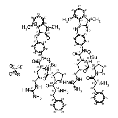 CN1C(=O)C(=Nc2ccc(N(OC(C)(C)C)C(=O)[C@H](CCCNC(=N)N)NC(=O)[C@@H]3CCCN3C(=O)[C@H](N)Cc3ccccc3)cc2)c2c1ccc[n+]2C.CN1C(=O)C(=Nc2ccc(N(OC(C)(C)C)C(=O)[C@H](CCCNC(=N)N)NC(=O)[C@@H]3CCCN3C(=O)[C@H](N)Cc3ccccc3)cc2)c2c1ccc[n+]2C.O=S(=O)([O-])[O-]